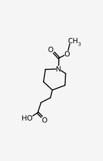 COC(=O)N1CCC(CCC(=O)O)CC1